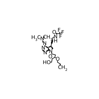 C=CCOC1CC(n2cc(C#CCNC(=O)C(F)(F)F)c3c(/N=C/N(C)C)ncnc32)OC1CO